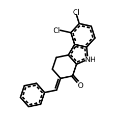 O=C1C(=Cc2ccccc2)CCc2c1[nH]c1ccc(Cl)c(Cl)c21